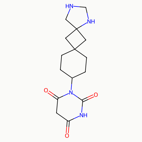 O=C1CC(=O)N(C2CCC3(CC2)CC2(CNCN2)C3)C(=O)N1